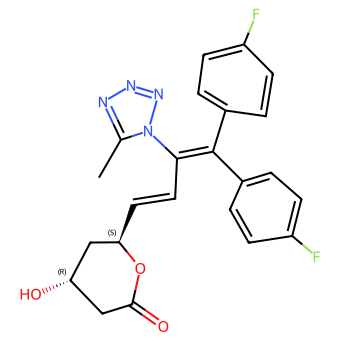 Cc1nnnn1C(C=C[C@@H]1C[C@@H](O)CC(=O)O1)=C(c1ccc(F)cc1)c1ccc(F)cc1